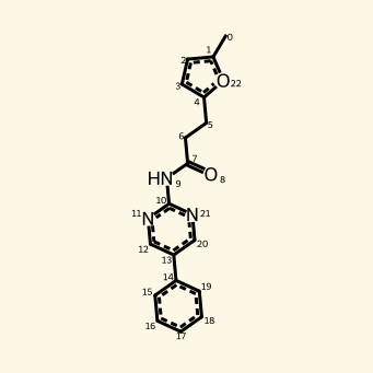 Cc1ccc(CCC(=O)Nc2ncc(-c3ccccc3)cn2)o1